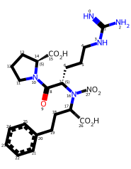 N=C(N)NCCC[C@@H](C(=O)N1CCC[C@H]1C(=O)O)N(C(CCc1ccccc1)C(=O)O)[N+](=O)[O-]